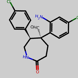 Nc1cc(Cl)ccc1[C@@]1(C=O)CCC(=O)NC[C@H]1c1ccc(Cl)cc1